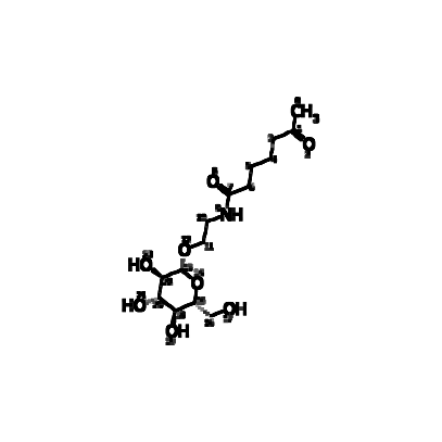 CC(=O)CCCCC(=O)NCCO[C@@H]1O[C@H](CO)[C@@H](O)[C@H](O)[C@H]1O